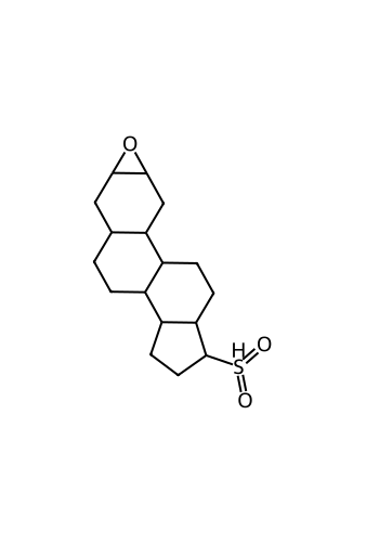 O=[SH](=O)C1CCC2C3CCC4CC5OC5CC4C3CCC21